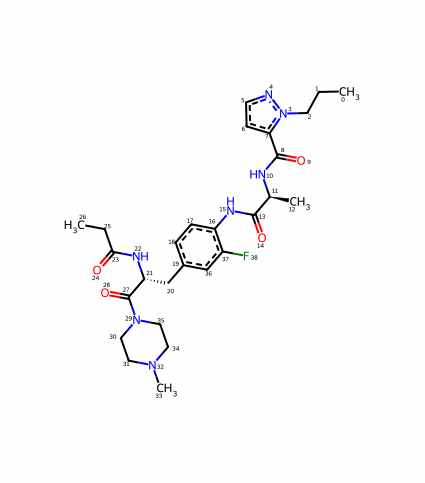 CCCn1nccc1C(=O)N[C@@H](C)C(=O)Nc1ccc(C[C@@H](NC(=O)CC)C(=O)N2CCN(C)CC2)cc1F